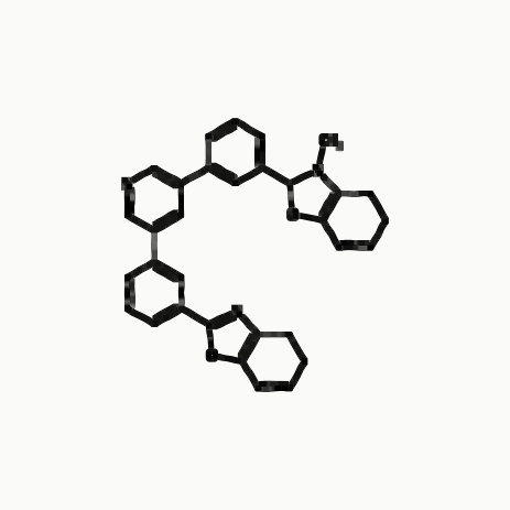 CN1C2=C(C=CCC2)OC1c1cccc(-c2cncc(-c3cccc(-c4nc5c(o4)C=CCC5)c3)c2)c1